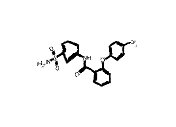 NS(=O)(=O)c1cccc(NC(=O)c2ccccc2Oc2ccc(C(F)(F)F)cc2)c1